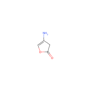 NC1=COC(=O)C1